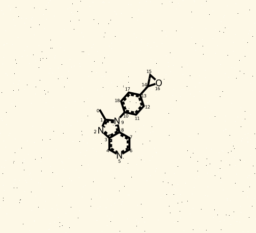 Cc1nc2cnccc2n1-c1ccc(C2CO2)cc1